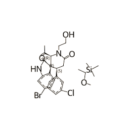 C=C(C)[C@H]1N(CCO)C(=O)C[C@@H](c2cccc(Cl)c2)[C@]12C(=O)Nc1cc(Br)ccc12.COC(C)[Si](C)(C)C